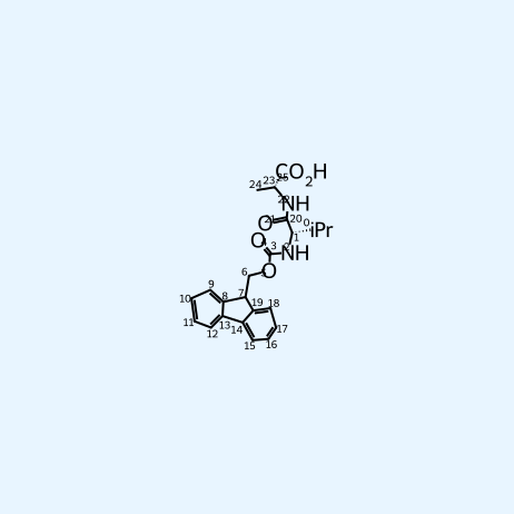 CC(C)[C@H](NC(=O)OCC1c2ccccc2-c2ccccc21)C(=O)N[C@H](C)C(=O)O